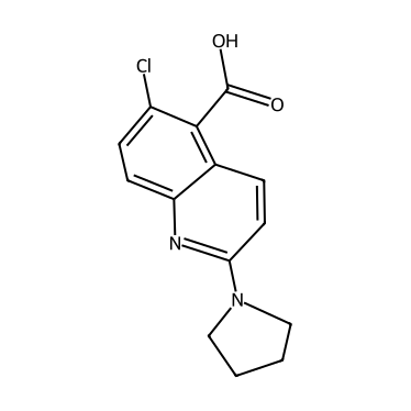 O=C(O)c1c(Cl)ccc2nc(N3CCCC3)ccc12